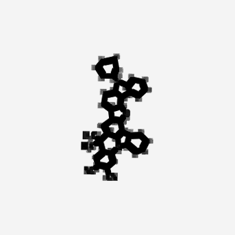 CC1(C)c2cc(C#N)c(C#N)cc2-n2c3ccccc3c3c4oc5c(ccc6c5c5ccccc5n6-c5ccccc5)c4cc1c32